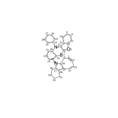 C1#CC2B3c4oc5ccccc5c4N(c4ccccc4)c4cccc(c43)-n3c4c(c(c32)C=C1)CCCC4